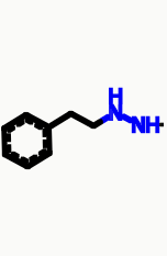 [NH]NCCc1ccccc1